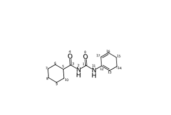 O=C(NC(=O)C1CCCCC1)NC1=C[CH]CC=C1